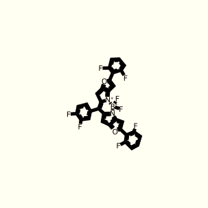 Fc1ccc(C2=C3C=c4oc(-c5c(F)cccc5F)cc4=[N+]3[B-](F)(F)n3c2cc2oc(-c4c(F)cccc4F)cc23)cc1F